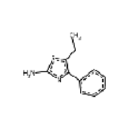 CCc1sc(N)nc1-c1ccccc1